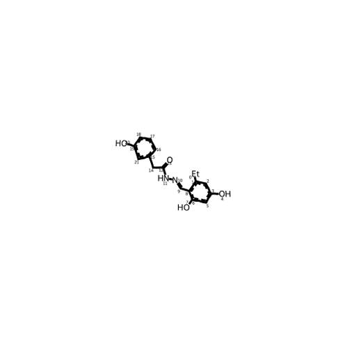 CCc1cc(O)cc(O)c1C=NNC(=O)Cc1cccc(O)c1